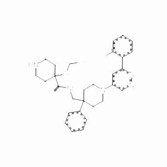 O=C(NCC1(c2ccccc2)CCN(c2cnnc(-c3ccccc3O)c2)CC1)C1(OCC(F)(F)F)CCNCC1